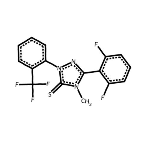 Cn1c(-c2c(F)cccc2F)nn(-c2ccccc2C(F)(F)F)c1=S